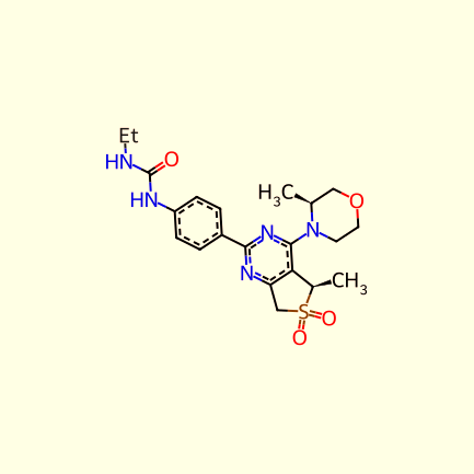 CCNC(=O)Nc1ccc(-c2nc3c(c(N4CCOC[C@@H]4C)n2)[C@@H](C)S(=O)(=O)C3)cc1